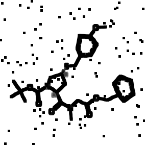 COc1ccc(CS[C@@H]2C[C@@H](C(=O)N(C)CC(=O)OCc3ccccc3)N(C(=O)OC(C)(C)C)C2)cc1